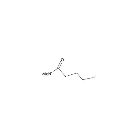 [CH2]NC(=O)CCCF